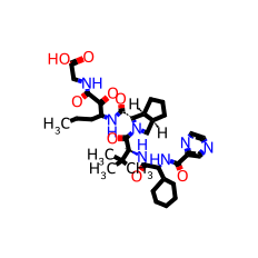 CCCC(NC(=O)[C@@H]1[C@H]2CCC[C@H]2CN1C(=O)[C@@H](NC(=O)[C@@H](NC(=O)c1cnccn1)C1CCCCC1)C(C)(C)C)C(=O)C(=O)NCC(=O)O